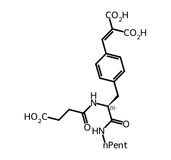 CCCCCNC(=O)[C@H](Cc1ccc(C=C(C(=O)O)C(=O)O)cc1)NC(=O)CCC(=O)O